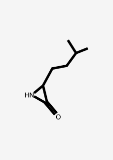 CC(C)CCC1NC1=O